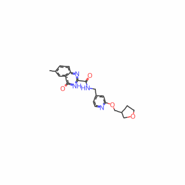 Cc1ccc2nc(C(=O)NCc3ccnc(OCC4CCOC4)c3)[nH]c(=O)c2c1